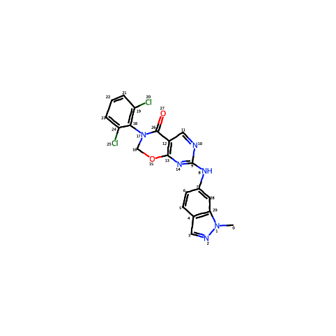 Cn1ncc2ccc(Nc3ncc4c(n3)OCN(c3c(Cl)cccc3Cl)C4=O)cc21